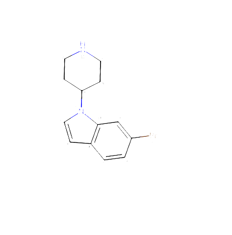 Brc1ccc2ccn(C3CCNCC3)c2c1